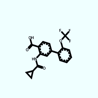 O=C(O)c1ccc(-c2ccccc2OC(F)(F)F)cc1NC(=O)C1CC1